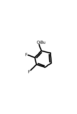 CC(C)COc1cccc(F)c1F